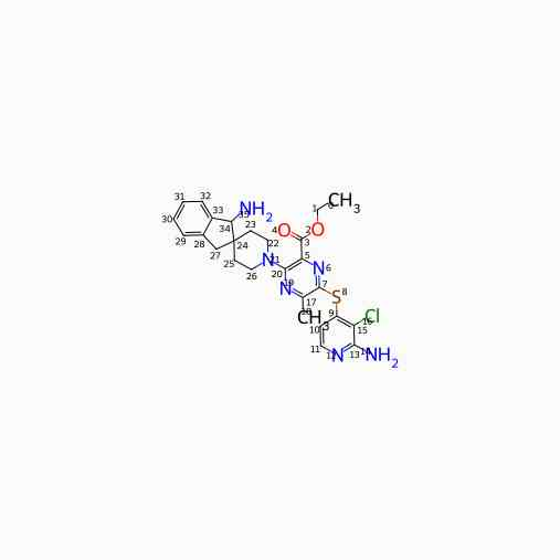 CCOC(=O)c1nc(Sc2ccnc(N)c2Cl)c(C)nc1N1CCC2(CC1)Cc1ccccc1C2N